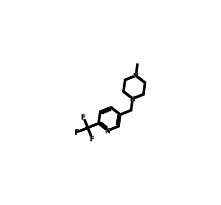 CN1CCN(Cc2ccc(C(F)(F)F)nc2)CC1